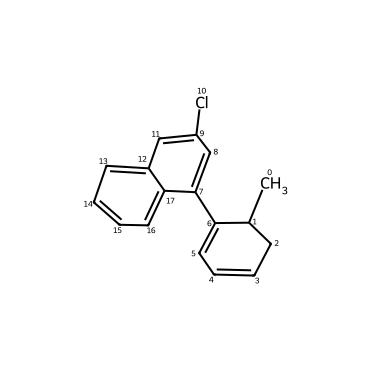 CC1CC=CC=C1c1cc(Cl)cc2ccccc12